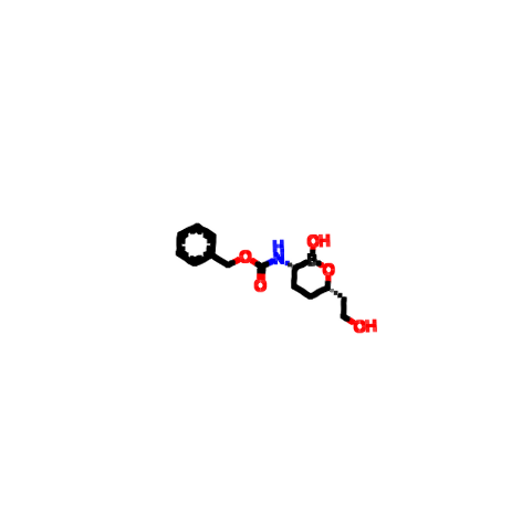 O=C(N[C@H]1CC[C@@H](CCO)OB1O)OCc1ccccc1